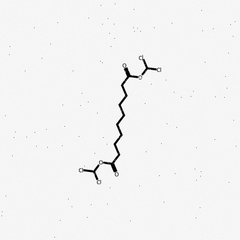 O=C(CCCCCCCCC(=O)OC(Cl)Cl)OC(Cl)Cl